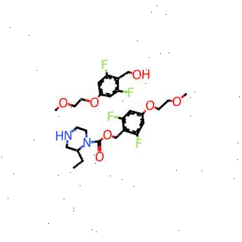 CCC1CNCCN1C(=O)OCc1c(F)cc(OCCOC)cc1F.COCCOc1cc(F)c(CO)c(F)c1